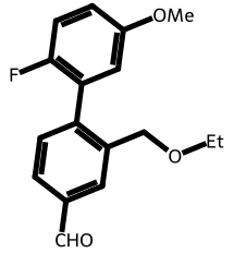 CCOCc1cc(C=O)ccc1-c1cc(OC)ccc1F